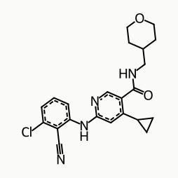 N#Cc1c(Cl)cccc1Nc1cc(C2CC2)c(C(=O)NCC2CCOCC2)cn1